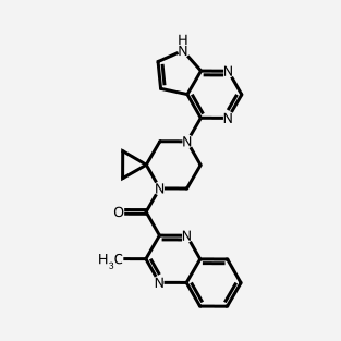 Cc1nc2ccccc2nc1C(=O)N1CCN(c2ncnc3[nH]ccc23)CC12CC2